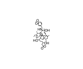 CC[C@H](OC)[C@@H](C)[C@H]1O[C@@H]1C(NCc1ccc2c(c1)OCO2)C(C)(O)/C=C/C=C(\C)C[C@@H](C)/C=C/[C@H](OC(C)=O)[C@](C)(O)CC[C@@H](O)CC(=O)OC